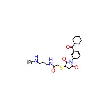 CC(C)NCCCNC(=O)CSC1CC(=O)N(c2cccc(C(=O)C3CCCCC3)c2)C1=O